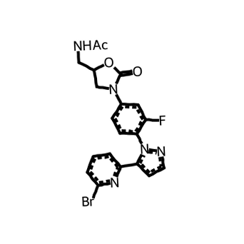 CC(=O)NCC1CN(c2ccc(-n3nccc3-c3cccc(Br)n3)c(F)c2)C(=O)O1